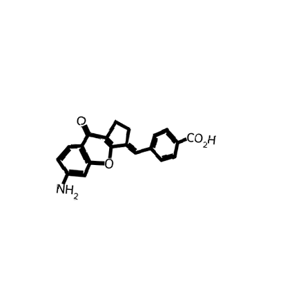 Nc1ccc2c(=O)c3c(oc2c1)C(=Cc1ccc(C(=O)O)cc1)CC3